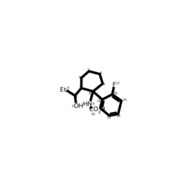 CCC(O)C1CCCCC1(NC(=O)O)c1ccccc1F